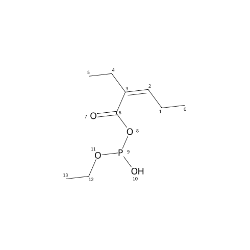 CCC=C(CC)C(=O)OP(O)OCC